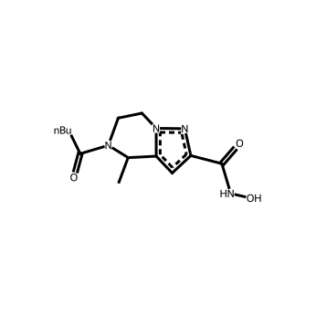 CCCCC(=O)N1CCn2nc(C(=O)NO)cc2C1C